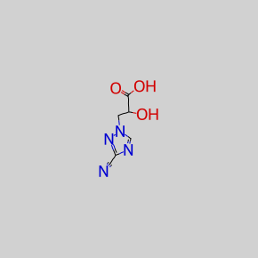 N#Cc1ncn(CC(O)C(=O)O)n1